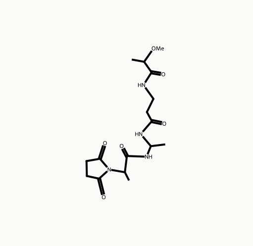 COC(C)C(=O)NCCC(=O)NC(C)NC(=O)C(C)N1C(=O)CCC1=O